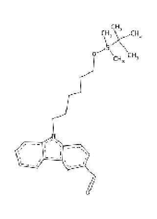 CC(C)(C)[Si](C)(C)OCCCCCCn1c2ccccc2c2cc(C=O)ccc21